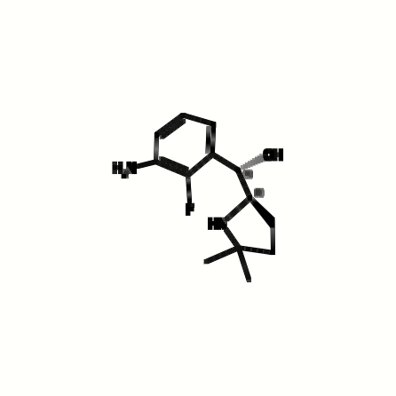 CC1(C)CC[C@H]([C@@H](O)c2cccc(N)c2F)N1